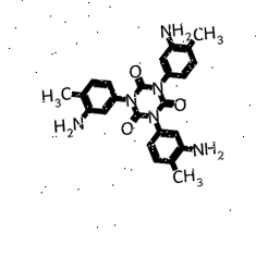 Cc1ccc(-n2c(=O)n(-c3ccc(C)c(N)c3)c(=O)n(-c3ccc(C)c(N)c3)c2=O)cc1N